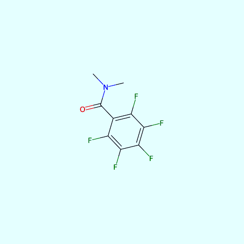 CN(C)C(=O)c1c(F)c(F)c(F)c(F)c1F